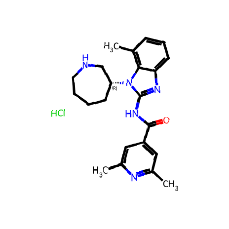 Cc1cc(C(=O)Nc2nc3cccc(C)c3n2[C@@H]2CCCCNC2)cc(C)n1.Cl